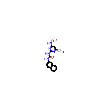 CONc1cc(C)nc(NC(=O)Nc2ccc3ccccc3c2)n1